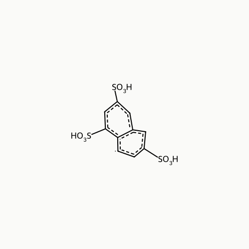 O=S(=O)(O)c1c[c]c2c(S(=O)(=O)O)cc(S(=O)(=O)O)cc2c1